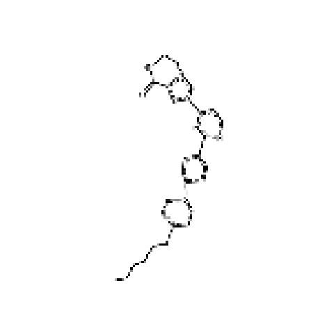 CCCCCCc1ccc(-c2ccc(-c3nccc(-c4cc5n(n4)CCNC5=O)n3)cc2)cc1